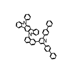 c1ccc(-c2ccc(-c3cc(-c4ccc5cccc(-n6c7ccccc7c7cc8c(cc76)c6ccccc6n8-c6ccccc6)c5c4)cc(-c4ccc(-c5ccccc5)cc4)n3)cc2)cc1